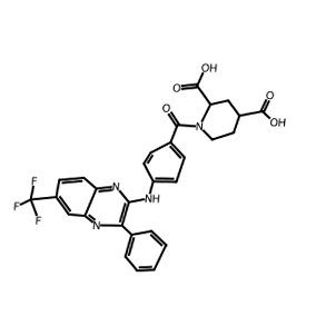 O=C(O)C1CCN(C(=O)c2ccc(Nc3nc4ccc(C(F)(F)F)cc4nc3-c3ccccc3)cc2)C(C(=O)O)C1